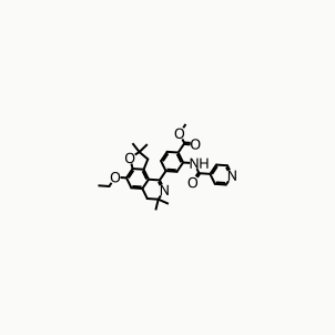 CCOc1cc2c(c3c1OC(C)(C)C3)C(c1ccc(C(=O)OC)c(NC(=O)c3ccncc3)c1)=NC(C)(C)C2